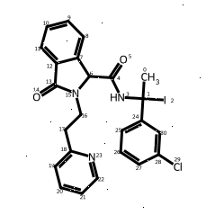 CC(I)(NC(=O)C1c2ccccc2C(=O)N1CCc1ccccn1)c1cccc(Cl)c1